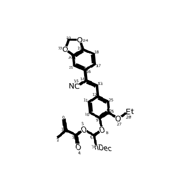 C=C(C)C(=O)OC(CCCCCCCCCC)Oc1ccc(/C=C(\C#N)c2ccc3c(c2)OCO3)cc1OCC